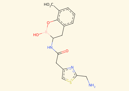 NCc1nc(CC(=O)NC2Cc3cccc(C(=O)O)c3OB2O)cs1